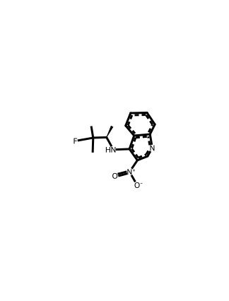 C[C@@H](Nc1c([N+](=O)[O-])cnc2ccccc12)C(C)(C)F